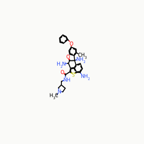 Cc1cc(Oc2ccccc2)ccc1C1(N)C(=O)C(N)c2c(C(=O)NCC3CCN(C)C3)sc3c(N)ccc1c23